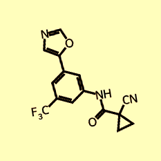 N#CC1(C(=O)Nc2cc(-c3cnco3)cc(C(F)(F)F)c2)CC1